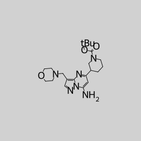 CC(C)(C)OC(=O)N1CCCC(c2cc(N)n3ncc(CN4CCOCC4)c3n2)C1